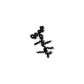 CCCCCCc1c(/C=C(/C#N)OC=O)sc2c(CCCCCC)c(/C=C/c3sc4c(CCCCCC)c(-c5cc6ccc(N(c7ccc8c(c7)C(C)(C)c7ccccc7-8)c7ccc8c(c7)C(C)(C)c7ccccc7-8)cc6s5)sc4c3CCCCCC)sc12